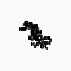 Cc1c(C)c2c(c(C)c1O)CCC(C)(C(=O)N[C@@H](CO)C(=O)NCC(=O)C1(CO)CO1)O2